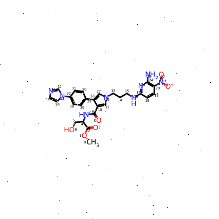 COC(=O)C(CO)NC(=O)c1cn(CCCNc2ccc([N+](=O)[O-])c(N)n2)cc1-c1ccc(-n2ccnc2)cc1